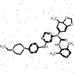 CCN1CCN(c2ccc(Nc3cc(N(C(=O)Nc4c(C)cccc4C)C4=CC(C)C5OCOC5=C4)ncn3)cc2)CC1